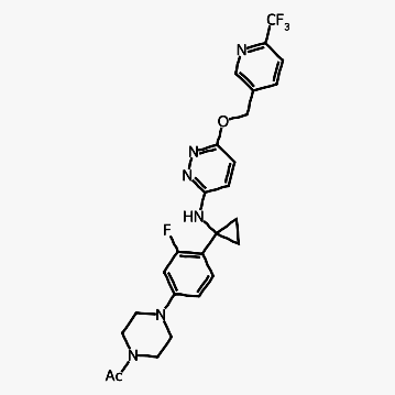 CC(=O)N1CCN(c2ccc(C3(Nc4ccc(OCc5ccc(C(F)(F)F)nc5)nn4)CC3)c(F)c2)CC1